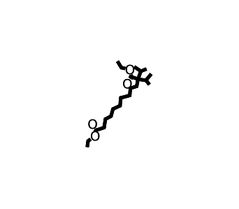 CCOC(=O)CCCCCCCCCC(C(=O)OCC)(C(C)C)C(C)C